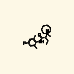 CCC(C(=O)Nc1c(C)cc(F)cc1C)[PH]1(C)CCCCCC1